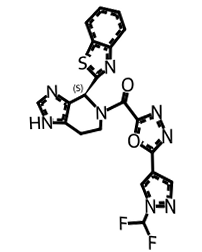 O=C(c1nnc(-c2cnn(C(F)F)c2)o1)N1CCc2[nH]cnc2[C@H]1c1nc2ccccc2s1